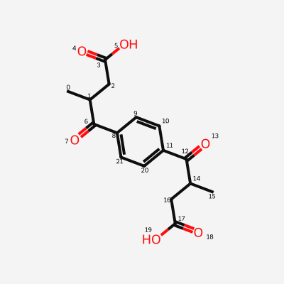 CC(CC(=O)O)C(=O)c1ccc(C(=O)C(C)CC(=O)O)cc1